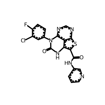 O=C(Nc1cccnc1)c1sc2ncnc3c2c1NC(=O)N3c1ccc(F)c(Cl)c1